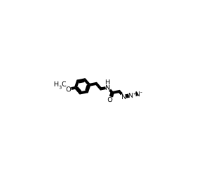 COc1ccc(CCNC(=O)CN=[N+]=[N-])cc1